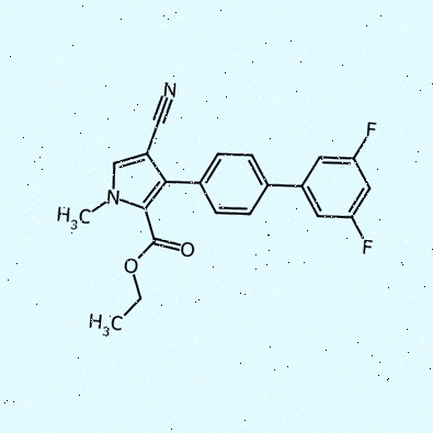 CCOC(=O)c1c(-c2ccc(-c3cc(F)cc(F)c3)cc2)c(C#N)cn1C